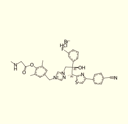 CNCC(=O)Oc1c(C)cc(C[n+]2cnn(C[C@](O)(c3cccc(F)c3)[C@@H](C)c3nc(-c4ccc(C#N)cc4)cs3)c2)cc1C.Cl.[Br-]